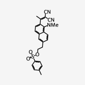 CNc1c(C(C)=C(C#N)C#N)ccc2cc(CCOS(=O)(=O)c3ccc(C)cc3)ccc12